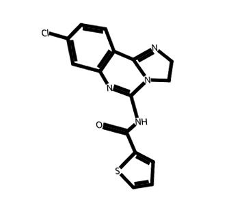 O=C(NC1=Nc2cc(Cl)ccc2C2=NCCN12)c1cccs1